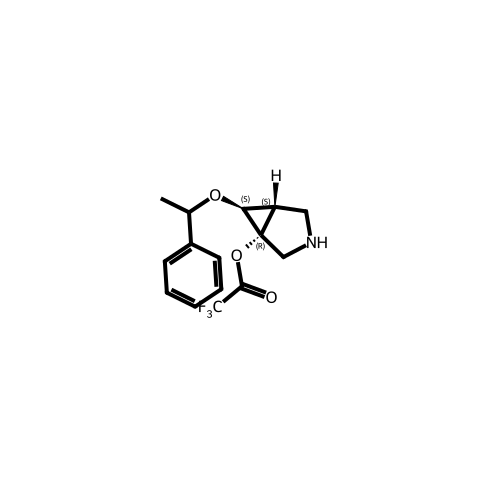 CC(O[C@H]1[C@@H]2CNC[C@]21OC(=O)C(F)(F)F)c1ccccc1